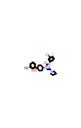 N#Cc1cccc([C@]2(O)CC[C@@H](N(CCN3CCCC3)C(=O)Nc3ccc(F)c(Cl)c3)CC2)c1